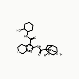 O=C(NC1CCCCC1O)c1c(NC(=O)C23CC4C[C@@H](C[C@H]2C4)C3)sc2c1CCOC2